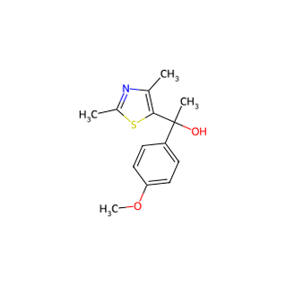 COc1ccc(C(C)(O)c2sc(C)nc2C)cc1